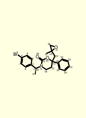 C[C@@H](c1ccc(Br)cc1)N1CCC(CC2(C)CO2)(c2ccccc2)OC1=O